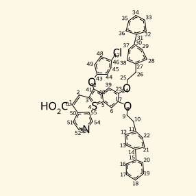 O=C(O)/C(=C/c1sc2cc(OCCc3ccc(-c4ccccc4)cc3)c(OCCc3ccc(-c4ccccc4)cc3)cc2c1Oc1ccc(Cl)cc1)c1ccncc1